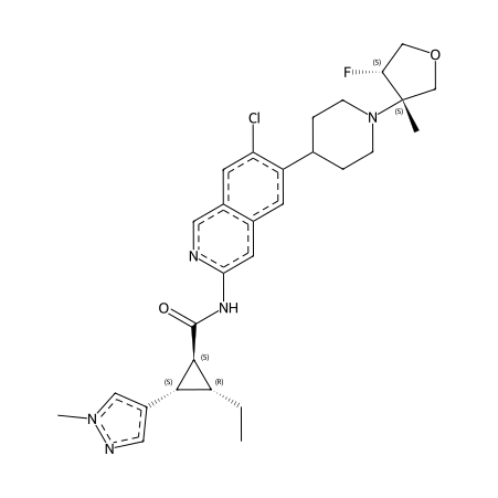 CC[C@H]1[C@H](C(=O)Nc2cc3cc(C4CCN([C@@]5(C)COC[C@H]5F)CC4)c(Cl)cc3cn2)[C@H]1c1cnn(C)c1